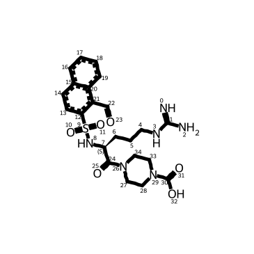 N=C(N)NCCC[C@H](NS(=O)(=O)c1ccc2ccccc2c1C=O)C(=O)N1CCN(C(=O)O)CC1